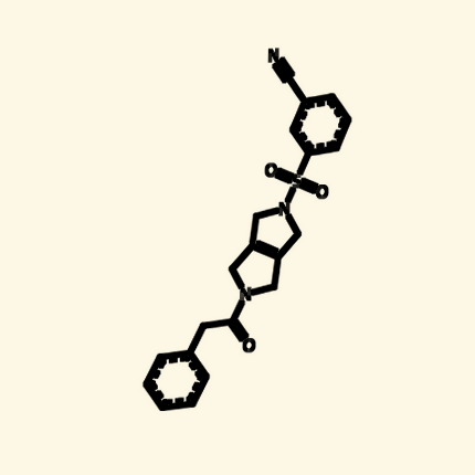 N#Cc1cccc(S(=O)(=O)N2CC3=C(CN(C(=O)Cc4ccccc4)C3)C2)c1